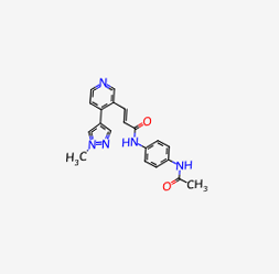 CC(=O)Nc1ccc(NC(=O)/C=C/c2cnccc2-c2cnn(C)c2)cc1